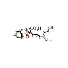 C=CCN(C)C=CC=C(C(=O)O)S(=O)(=O)c1ccccc1